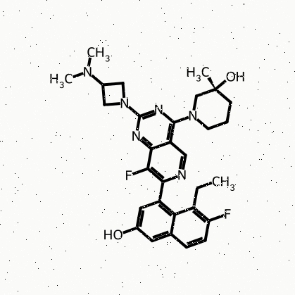 CCc1c(F)ccc2cc(O)cc(-c3ncc4c(N5CCC[C@@](C)(O)C5)nc(N5CC(N(C)C)C5)nc4c3F)c12